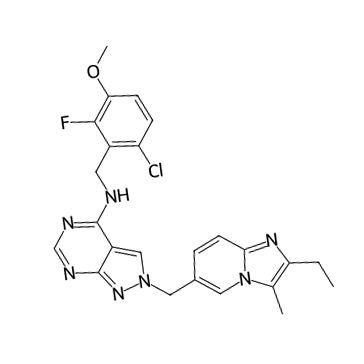 CCc1nc2ccc(Cn3cc4c(NCc5c(Cl)ccc(OC)c5F)ncnc4n3)cn2c1C